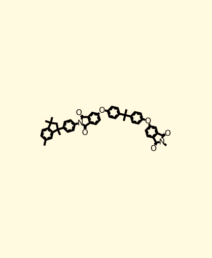 Cc1ccc2c(c1)C(C)(c1ccc(N3C(=O)c4ccc(Oc5ccc(C(C)(C)c6ccc(Oc7ccc8c(c7)C(=O)N(C)C8=O)cc6)cc5)cc4C3=O)cc1)CC2(C)C